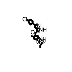 CCCS(=O)(=O)Nc1ccc(C)c(C(=O)c2c[nH]c3ncc(-c4ccc(Cl)cc4)cc23)c1